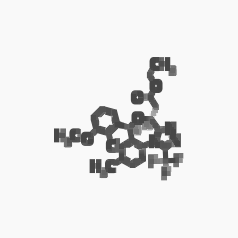 CCOC(=O)C[C@H]1O[C@H](c2cccc(OC)c2Cl)c2cc(C)ccc2-n2c1nnc2C(F)(F)F